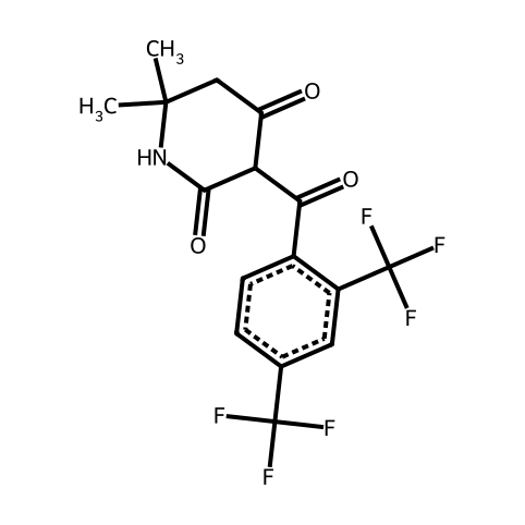 CC1(C)CC(=O)C(C(=O)c2ccc(C(F)(F)F)cc2C(F)(F)F)C(=O)N1